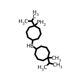 CC(C)C1(C)CCCC(BC2CCCC(P)(C(C)C)CCC2)CCC1